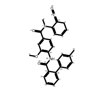 COc1cc(C(=O)N(C)C2=CC=CCC2=C=O)ccc1NC(=O)c1ccccc1-c1ccc(C)cc1